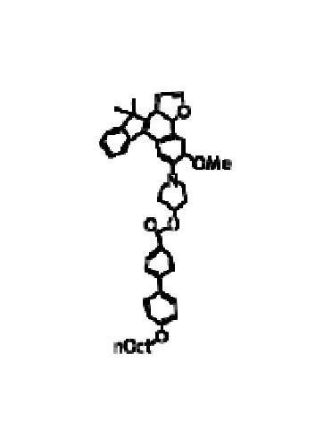 CCCCCCCCOc1ccc(-c2ccc(C(=O)OC3CCN(c4cc5c(cc4OC)C4OC=CC=C4C4=C5c5ccccc5C4(C)C)CC3)cc2)cc1